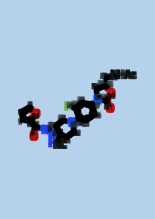 [C-]#[N+]C1(NNC(=O)c2ccco2)CCN(c2ccc(N3C[C@H](CNC(C)=O)OC3=O)cc2F)CC1